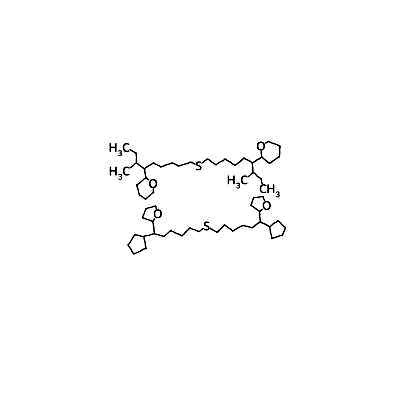 C(CCSCCCCCC(C1CCCC1)C1CCCO1)CCC(C1CCCC1)C1CCCO1.CCC(C)C(CCCCCSCCCCCC(C(C)CC)C1CCCCO1)C1CCCCO1